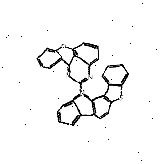 c1ccc2c(c1)Oc1cccc3nc(-n4c5ccccc5c5ccc6sc7ccccc7c6c54)nc-2c13